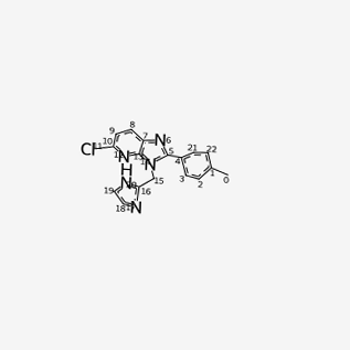 Cc1ccc(-c2nc3ccc(Cl)nc3n2Cc2ncc[nH]2)cc1